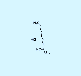 CCCCCCCCC(C)O.Cl